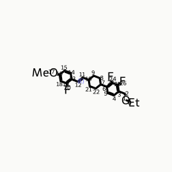 CCOCc1ccc(C2CCC(/C=C/c3ccc(OC)cc3F)CC2)c(F)c1F